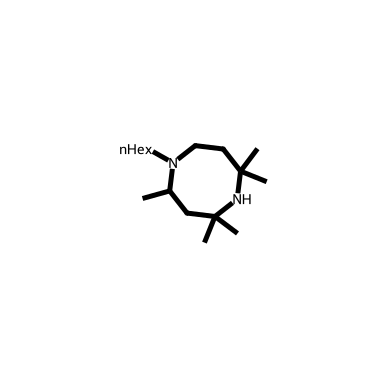 CCCCCCN1CCC(C)(C)NC(C)(C)CC1C